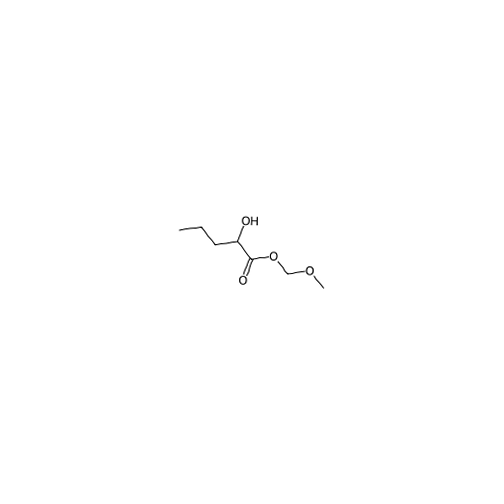 CCCC(O)C(=O)OCOC